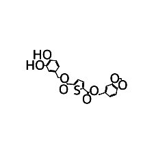 O=C(OCc1ccc(O)c(O)c1)c1ccc(C(=O)OCc2ccc3c(c2)OCO3)s1